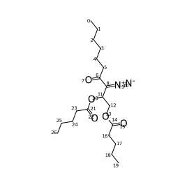 CCCCCCC(=O)C(=[N+]=[N-])C(COC(=O)CCCC)OC(=O)CCCC